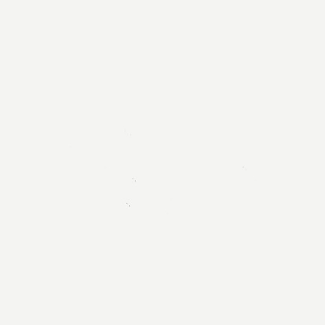 Cc1cc(Oc2nc3cc(-c4ccc(-c5ccc(O)nc5)cc4)c(Cl)cc3[nH]2)cc(C(=O)O)c1C